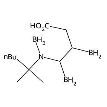 BC(CC(=O)O)C(B)N(B)C(C)(C)CCCC